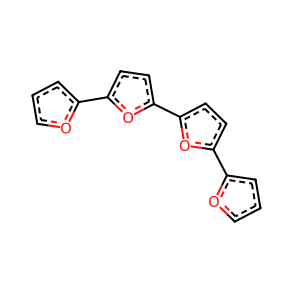 c1coc(-c2ccc(-c3ccc(-c4ccco4)o3)o2)c1